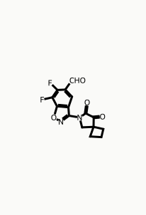 O=Cc1cc2c(N3CC4(CCC4)C(=O)C3=O)noc2c(F)c1F